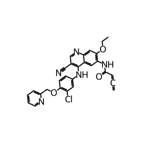 C=C=CC(=O)Nc1cc2c(Nc3ccc(OCc4ccccn4)c(Cl)c3)c(C#N)cnc2cc1OCC